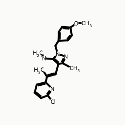 C=Nc1c(/C=C(\C)c2cccc(Cl)n2)c(C)nn1Cc1ccc(OC)cc1